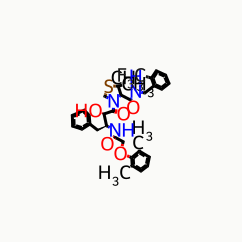 Cc1cccc(C)c1OCC(=O)N[C@@H](Cc1ccccc1)[C@H](O)C(=O)N1CSC(C)(C)C1C(=O)NCc1ccccc1C(F)(F)F